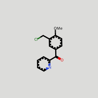 COc1ccc(C(=O)c2ccccn2)cc1CCl